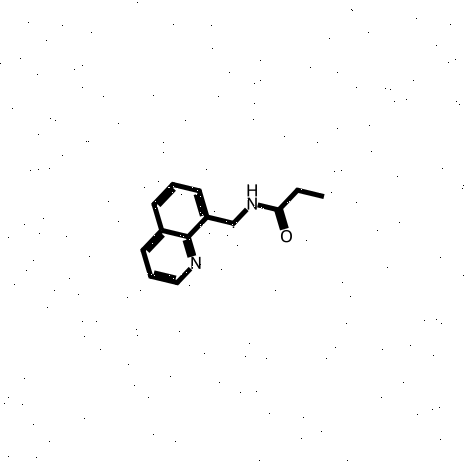 CCC(=O)N[CH]c1cccc2cccnc12